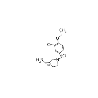 CCOc1ccc(CN2CC[C@@H](CN)C2)cc1Cl.Cl